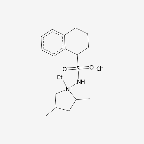 CC[N+]1(NS(=O)(=O)C2CCCc3ccccc32)CC(C)CC1C.[Cl-]